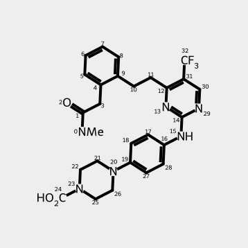 CNC(=O)Cc1ccccc1CCc1nc(Nc2ccc(N3CCN(C(=O)O)CC3)cc2)ncc1C(F)(F)F